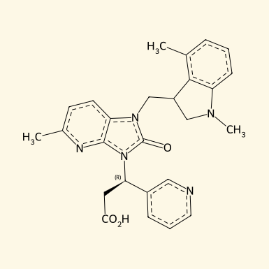 Cc1ccc2c(n1)n([C@H](CC(=O)O)c1cccnc1)c(=O)n2CC1CN(C)c2cccc(C)c21